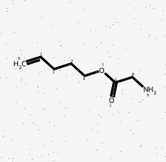 C=CCCCOC(=O)CN